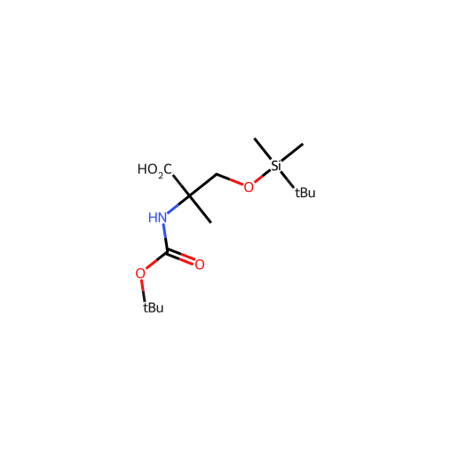 CC(C)(C)OC(=O)NC(C)(CO[Si](C)(C)C(C)(C)C)C(=O)O